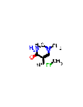 CCCC(=CN(C)C)C(N)=O.CCl